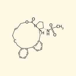 CS(=O)(=O)N[C@H]1CCN2C(=O)OC/C=C/CCCc3ccccc3-c3cccc(c3)C[C@@H]12